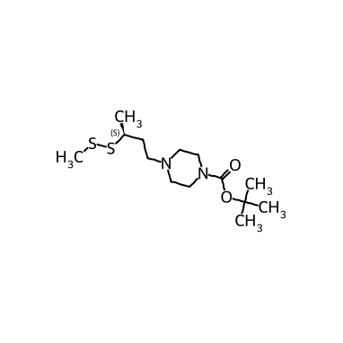 CSS[C@@H](C)CCN1CCN(C(=O)OC(C)(C)C)CC1